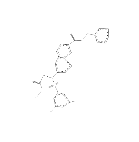 CC(C)(C)OC(=O)CN(c1ccc2cc(C(=O)NCc3ccccc3)ccc2c1)S(=O)(=O)c1cc(Cl)cc(Cl)c1